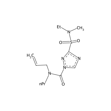 C=CCN(CCC)C(=O)n1cnc(S(=O)(=O)N(C)CC)n1